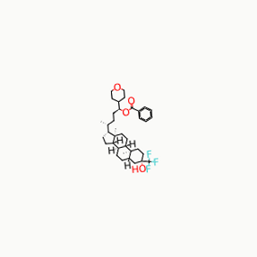 C[C@H](CC[C@H](OC(=O)c1ccccc1)C1CCOCC1)[C@H]1CC[C@H]2[C@@H]3CC[C@H]4C[C@](O)(C(F)(F)F)CC[C@]4(C)[C@H]3CC[C@]12C